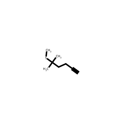 [C]#CCCC(C)(C)SC